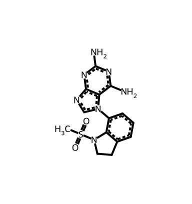 CS(=O)(=O)N1CCc2cccc(-n3cnc4nc(N)nc(N)c43)c21